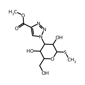 COC(=O)c1cn(C2C(O)C(CO)OC(SC)C2O)nn1